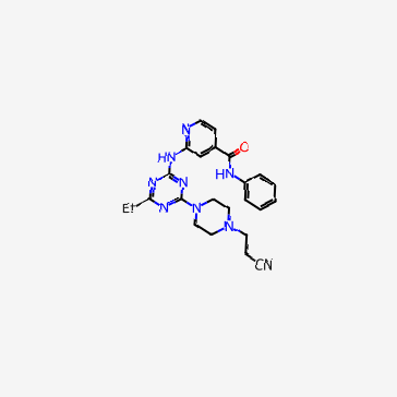 CCc1nc(Nc2cc(C(=O)Nc3ccccc3)ccn2)nc(N2CCN(CCC#N)CC2)n1